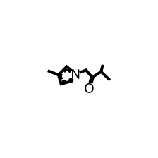 Cc1ccn(CC(=O)C(C)C)c1